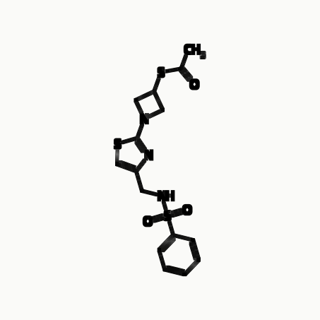 CC(=O)SC1CN(c2nc(CNS(=O)(=O)c3ccccc3)cs2)C1